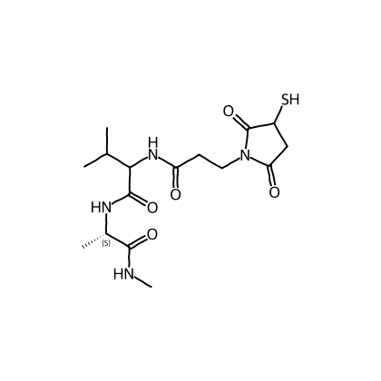 CNC(=O)[C@H](C)NC(=O)C(NC(=O)CCN1C(=O)CC(S)C1=O)C(C)C